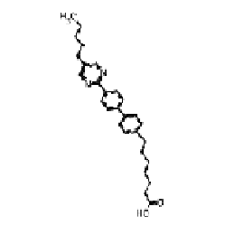 CCCCCc1cnc(-c2ccc(-c3ccc(CCCCCCC(=O)O)cc3)cc2)nc1